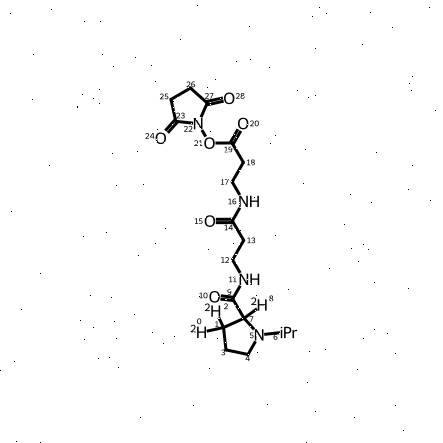 [2H]C1([2H])CCN(C(C)C)C1([2H])C(=O)NCCC(=O)NCCC(=O)ON1C(=O)CCC1=O